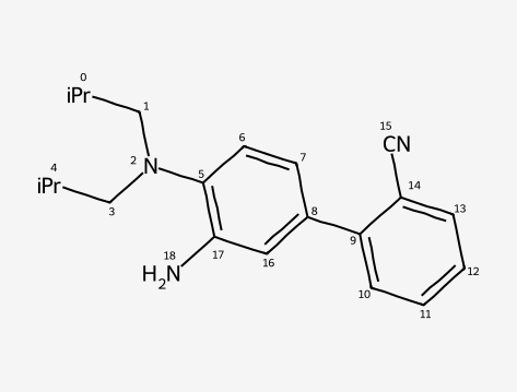 CC(C)CN(CC(C)C)c1ccc(-c2ccccc2C#N)cc1N